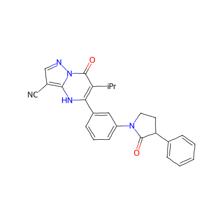 CC(C)c1c(-c2cccc(N3CCC(c4ccccc4)C3=O)c2)[nH]c2c(C#N)cnn2c1=O